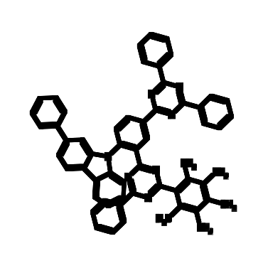 Bc1c(B)c(B)c(-c2nc(-c3ccccc3)nc(-c3cc(-c4nc(-c5ccccc5)nc(-c5ccccc5)n4)ccc3-n3c4ccccc4c4ccc(-c5ccccc5)cc43)n2)c(B)c1B